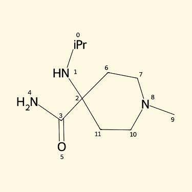 CC(C)NC1(C(N)=O)CCN(C)CC1